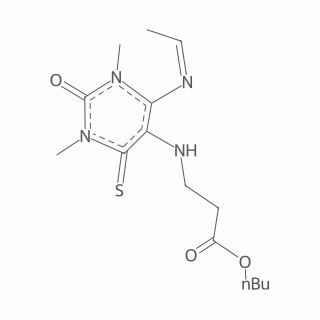 C/C=N\c1c(NCCC(=O)OCCCC)c(=S)n(C)c(=O)n1C